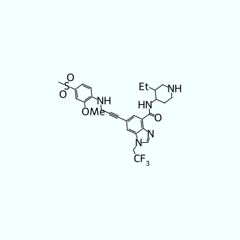 CCC1CNCCC1NC(=O)c1cc(C#CCNc2ccc(S(C)(=O)=O)cc2OC)cc2c1ncn2CC(F)(F)F